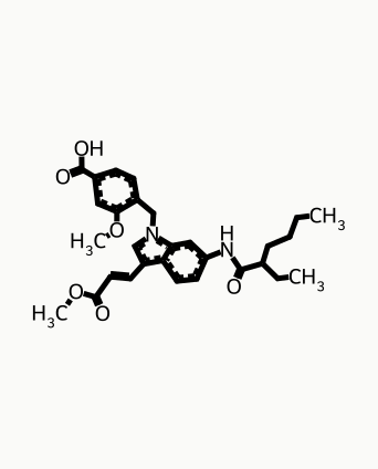 CCCCC(CC)C(=O)Nc1ccc2c(C=CC(=O)OC)cn(Cc3ccc(C(=O)O)cc3OC)c2c1